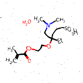 C=C(C)C(=O)OCCOC(CC)(CN(C)C)CS(=O)(=O)O.O